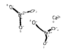 [Ca+2].[O-][Br+2]([O-])[O-].[O-][Br+2]([O-])[O-]